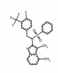 Cc1cccc2nc(N(Cc3ccc(F)c(C(F)(F)F)c3)S(=O)(=O)c3ccccc3)c(C)n12